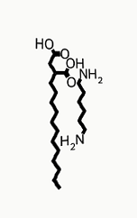 CCCCCCCCCCCCC(CC(=O)O)C(=O)O.NCCCCCCN